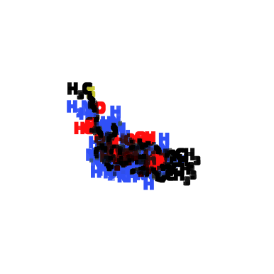 CSCC[C@H](N)C(=O)NCC(=O)N[C@@H](CO)C(=O)N[C@@H](Cc1c[nH]cn1)C(=O)N[C@@H](Cc1c[nH]cn1)C(=O)N[C@@H](Cc1c[nH]cn1)C(=O)N[C@@H](Cc1c[nH]cn1)C(=O)N[C@@H](Cc1c[nH]cn1)C(=O)N[C@@H](Cc1c[nH]cn1)C(=O)N[C@@H](CO)C(=O)NCC(=O)N[C@@H](CC(C)C)C(=O)N[C@H](C(=O)N1CCC[C@H]1C(=O)N[C@@H](CCCNC(=N)N)C(=O)NCC(=O)N[C@@H](CO)C(=O)N[C@@H](Cc1c[nH]cn1)C(=O)O)C(C)C